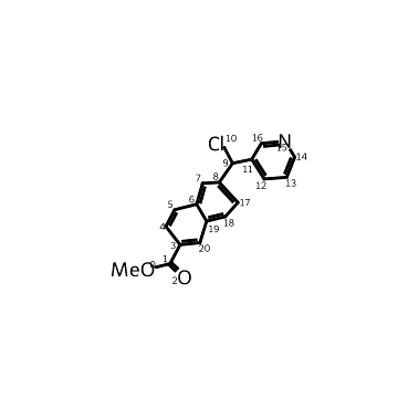 COC(=O)c1ccc2cc(C(Cl)c3cccnc3)ccc2c1